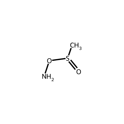 CS(=O)ON